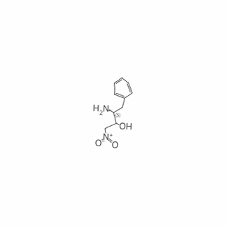 N[C@@H](Cc1ccccc1)C(O)C[N+](=O)[O-]